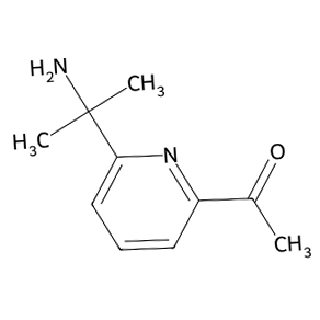 CC(=O)c1cccc(C(C)(C)N)n1